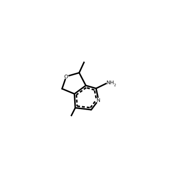 Cc1cnc(N)c2c1COC2C